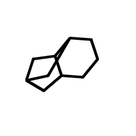 C1CC2CC3CC(C1)C2C3